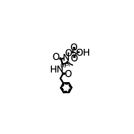 C[C@H]1[C@H](NC(=O)Cc2ccccc2)C(=O)N1OS(=O)(=O)O